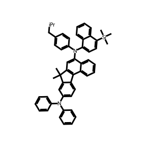 CC(C)Cc1ccc(N(c2ccc([Si](C)(C)C)c3ccccc23)c2cc3c(c4ccccc24)-c2ccc(N(c4ccccc4)c4ccccc4)cc2C3(C)C)cc1